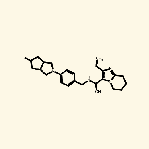 CCc1nc2n(c1C(O)NCc1ccc(N3CC4CC(F)CC4C3)cc1)CCCC2